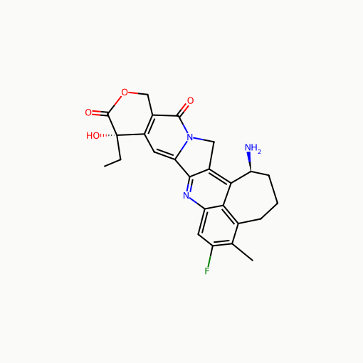 CC[C@@]1(O)C(=O)OCc2c1cc1n(c2=O)Cc2c-1nc1cc(F)c(C)c3c1c2[C@@H](N)CCC3